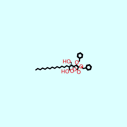 CCCCCCCCCCCCCCC(C(=O)O)[C@@H](CO)[C@H]1OC(=O)C(OCc2ccccc2)=C1OCc1ccccc1